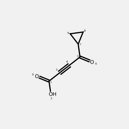 O=C(O)C#CC(=O)C1CC1